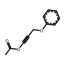 CC(=O)OC#CCOc1ccccc1